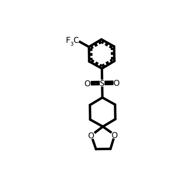 O=S(=O)(c1cccc(C(F)(F)F)c1)C1CCC2(CC1)OCCO2